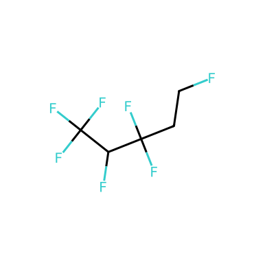 FCCC(F)(F)C(F)C(F)(F)F